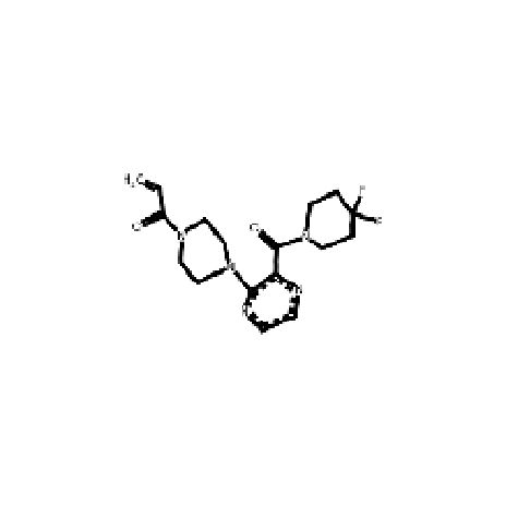 C=CC(=O)N1CCN(c2nccnc2C(=O)N2CCC(F)(F)CC2)CC1